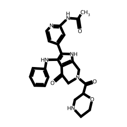 CC(=O)Nc1cc(-c2[nH]c3c(c2Nc2ccccc2)C(=O)CN(C(=O)C2CNCCO2)C3)ccn1